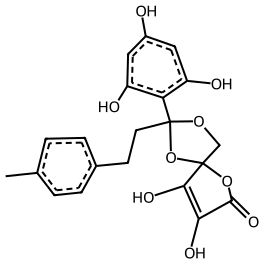 Cc1ccc(CCC2(c3c(O)cc(O)cc3O)OCC3(OC(=O)C(O)=C3O)O2)cc1